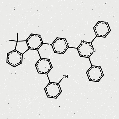 CC1(C)c2ccccc2-c2c1ccc(-c1ccc(-c3cc(-c4ccccc4)nc(-c4ccccc4)n3)cc1)c2-c1ccc(-c2ccccc2C#N)cc1